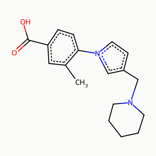 Cc1cc(C(=O)O)ccc1-n1ccc(CN2CCCCC2)c1